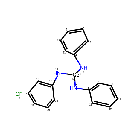 [Cl-].c1ccc([NH][Ge+]([NH]c2ccccc2)[NH]c2ccccc2)cc1